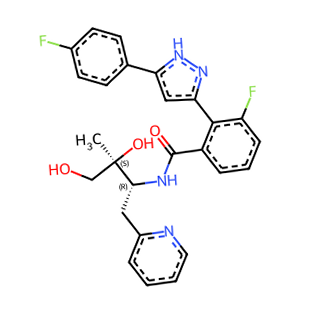 C[C@@](O)(CO)[C@@H](Cc1ccccn1)NC(=O)c1cccc(F)c1-c1cc(-c2ccc(F)cc2)[nH]n1